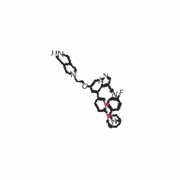 N#Cc1cnn2cc(OCCN3CC4CNCC4C3)cc(-c3ccc(N4CC5CC(C4)N5Cc4ccc(F)cc4)nc3)c12